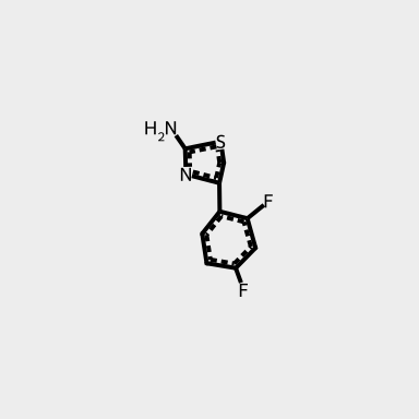 Nc1nc(-c2ccc(F)cc2F)cs1